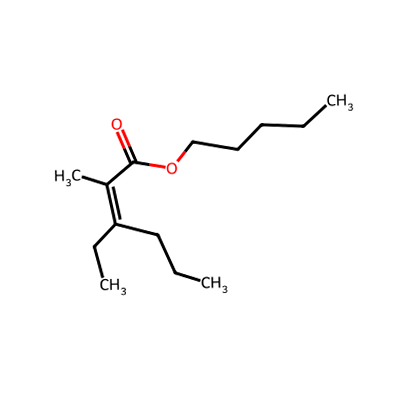 CCCCCOC(=O)C(C)=C(CC)CCC